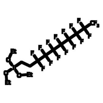 CC[O][Ti]([CH2]CC(F)(F)C(F)(F)C(F)(F)C(F)(F)C(F)(F)C(F)(F)C(F)(F)C(F)(F)F)([O]CC)[O]CC